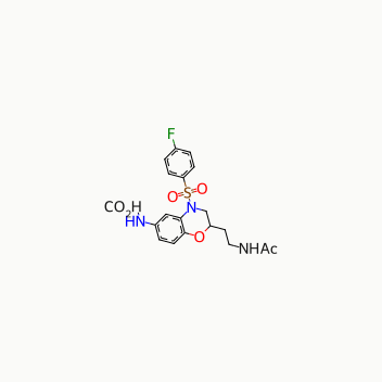 CC(=O)NCCC1CN(S(=O)(=O)c2ccc(F)cc2)c2cc(NC(=O)O)ccc2O1